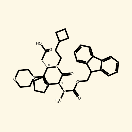 CN(C(=O)OCC1c2ccccc2-c2ccccc21)[C@H](C(=O)N(CCC1CCC1)[C@@H](CC(=O)O)C(=O)N1CCOCC1)C1CCCC1